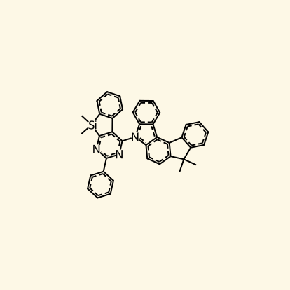 CC1(C)c2ccccc2-c2c1ccc1c2c2ccccc2n1-c1nc(-c2ccccc2)nc2c1-c1ccccc1[Si]2(C)C